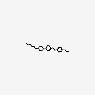 CCCCCC[C@H]1CC[C@H](C2CC=C(CCc3ccc(CCC)cc3)CC2)CC1